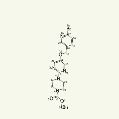 CC(C)(C)OC(=O)N1CCN(c2ncc(OCc3ccc(Br)nc3)cn2)CC1